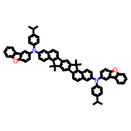 CC(C)c1ccc(N(c2ccc3c4c(ccc3c2)-c2cc3c(cc2C4(C)C)-c2ccc4cc(N(c5ccc(C(C)C)cc5)c5ccc6oc7ccccc7c6c5)ccc4c2C3(C)C)c2ccc3oc4ccccc4c3c2)cc1